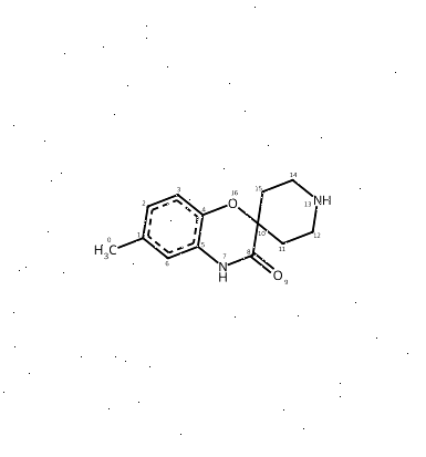 Cc1ccc2c(c1)NC(=O)C1(CCNCC1)O2